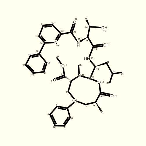 COC(=O)[C@H]1CN(c2ccccc2)C[C@H](C)C(=O)OB([C@H](CC(C)C)NC(=O)[C@@H](NC(=O)c2cccc(-c3ccccc3)n2)[C@@H](C)O)N1C